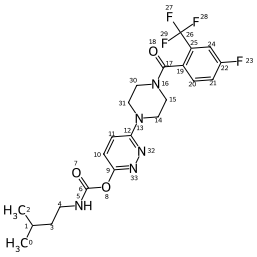 CC(C)CCNC(=O)Oc1ccc(N2CCN(C(=O)c3ccc(F)cc3C(F)(F)F)CC2)nn1